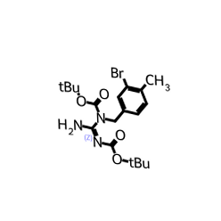 Cc1ccc(CN(C(=O)OC(C)(C)C)/C(N)=N\C(=O)OC(C)(C)C)cc1Br